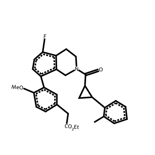 CCOC(=O)Cc1ccc(OC)c(-c2ccc(F)c3c2CN(C(=O)C2CC2c2ccccc2C)CC3)c1